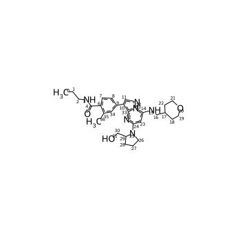 CCCNC(=O)c1ccc(-c2cnn3c(NCC4CCOCC4)cc(N4CCCC4CO)nc23)cc1C